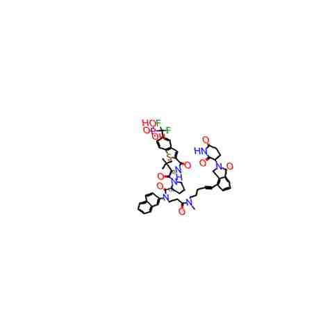 CN(CCCC#Cc1cccc2c1CN(C1CCC(=O)NC1=O)C2=O)C(=O)CCN(C(=O)[C@@H]1CCCN1C(=O)[C@@H](NC(=O)c1cc2cc(C(F)(F)P(=O)(O)O)ccc2s1)C(C)(C)C)c1ccc2ccccc2c1